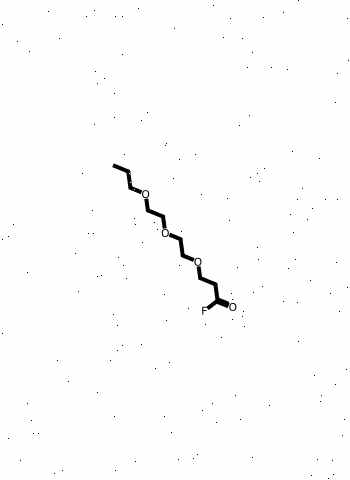 CCCOCCOCCOCCC(=O)F